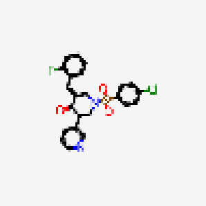 O=C1C(=Cc2ccccc2F)CN(S(=O)(=O)c2ccc(Cl)cc2)CC1c1cccnc1